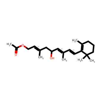 CC(=O)OC/C=C(\C)CC(O)/C=C(C)/C=C/C1=C(C)CCCC1(C)C